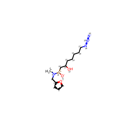 CN(Cc1ccco1)[S+]([O-])CC(O)CCCCCN=[N+]=[N-]